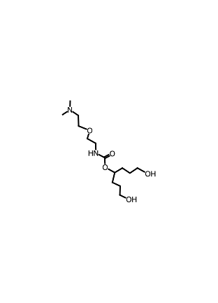 CN(C)CCOCCNC(=O)OC(CCCO)CCCO